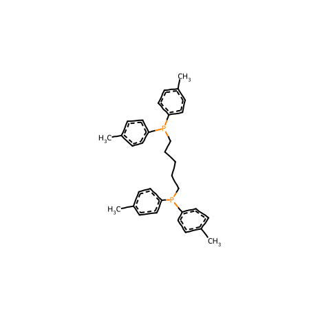 Cc1ccc(P(CCCCCP(c2ccc(C)cc2)c2ccc(C)cc2)c2ccc(C)cc2)cc1